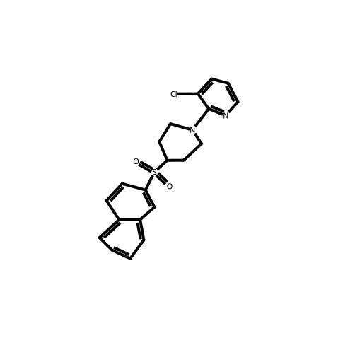 O=S(=O)(c1ccc2ccccc2c1)C1CCN(c2ncccc2Cl)CC1